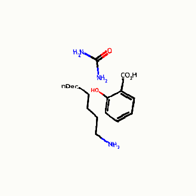 CCCCCCCCCCCCCCN.NC(N)=O.O=C(O)c1ccccc1O